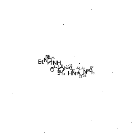 CCn1cc(NC(=O)c2cc(C3CC3NC3CCN(C4CC4)CC3)cs2)cn1